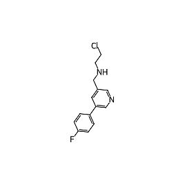 Fc1ccc(-c2cncc(CNCCCl)c2)cc1